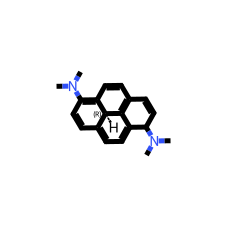 CN(C)C1=C2C=CC3=C4C(=CC=C(C=C1)[C@@H]24)C(N(C)C)C=C3